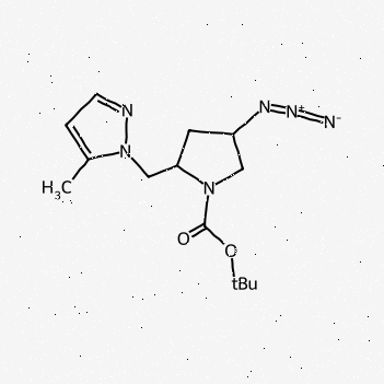 Cc1ccnn1CC1CC(N=[N+]=[N-])CN1C(=O)OC(C)(C)C